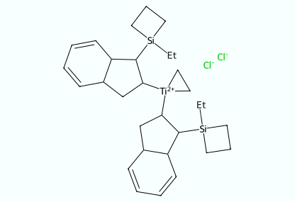 CC[Si]1(C2C3C=CC=CC3C[CH]2[Ti+2]2([CH]3CC4C=CC=CC4C3[Si]3(CC)CCC3)[CH2][CH2]2)CCC1.[Cl-].[Cl-]